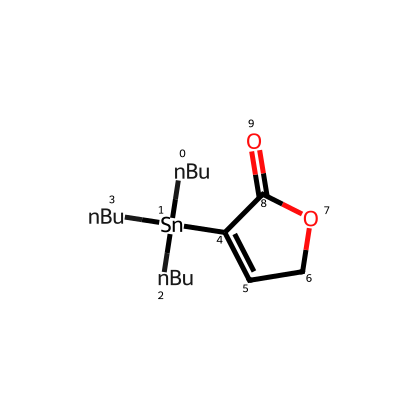 CCC[CH2][Sn]([CH2]CCC)([CH2]CCC)[C]1=CCOC1=O